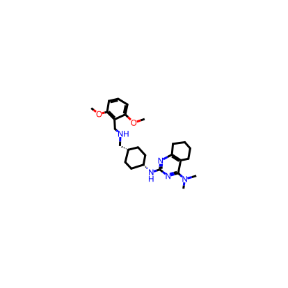 COc1cccc(OC)c1CNC[C@H]1CC[C@@H](Nc2nc3c(c(N(C)C)n2)CCCC3)CC1